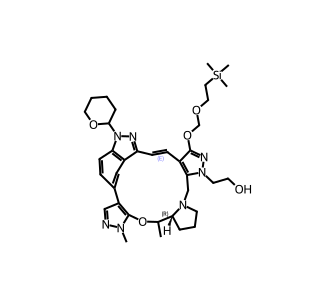 CC1Oc2c(cnn2C)-c2ccc3c(c2)c(nn3C2CCCCO2)/C=C/c2c(OCOCC[Si](C)(C)C)nn(CCO)c2CN2CCC[C@H]12